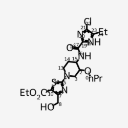 CCCOC1CN(c2nc(CO)c(C(=O)OCC)s2)CCC1NC(=O)c1nc(Cl)c(CC)[nH]1